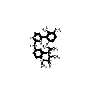 Cc1c(N)cccc1-c1ccnc(Nc2ccc3c(c2)N(C(C)C)C(C)C(=O)N3C)n1